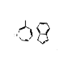 C1=Cc2ccccc2C1.CC1=CNC=CC=C1